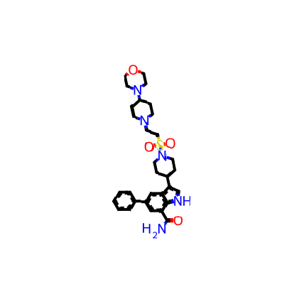 NC(=O)c1cc(-c2ccccc2)cc2c(C3CCN(S(=O)(=O)CCN4CCC(N5CCOCC5)CC4)CC3)c[nH]c12